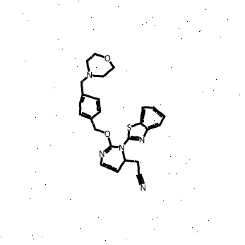 N#CCC1C=CN=C(OCc2ccc(CN3CCOCC3)cc2)N1c1nc2ccccc2s1